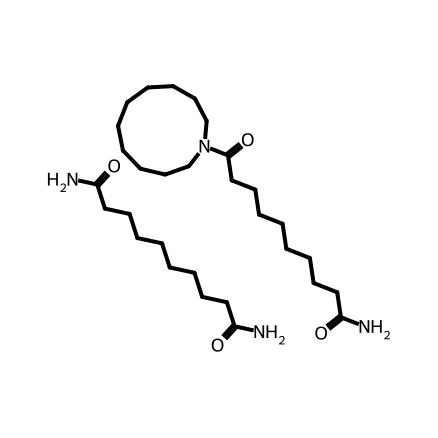 NC(=O)CCCCCCCCC(=O)N1CCCCCCCCCC1.NC(=O)CCCCCCCCC(N)=O